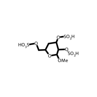 COC1OC(COS(=O)(=O)O)CC(OS(=O)(=O)O)C1OS(=O)(=O)O